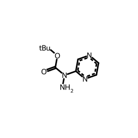 CC(C)(C)OC(=O)N(N)c1cnccn1